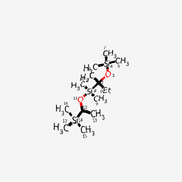 CCC(C)(O[Si](C)(C)C)[Si](C)(C)OC(C)[Si](C)(C)C